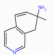 CC1(N)C=Cc2ccncc2C1